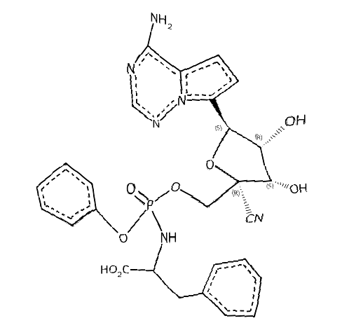 N#C[C@]1(COP(=O)(NC(Cc2ccccc2)C(=O)O)Oc2ccccc2)O[C@@H](c2ccc3c(N)ncnn23)[C@H](O)[C@@H]1O